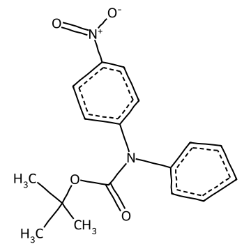 CC(C)(C)OC(=O)N(c1ccccc1)c1ccc([N+](=O)[O-])cc1